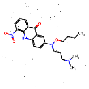 CCCCON(CCCN(C)C)c1ccc2[nH]c3c([N+](=O)[O-])cccc3c(=O)c2c1